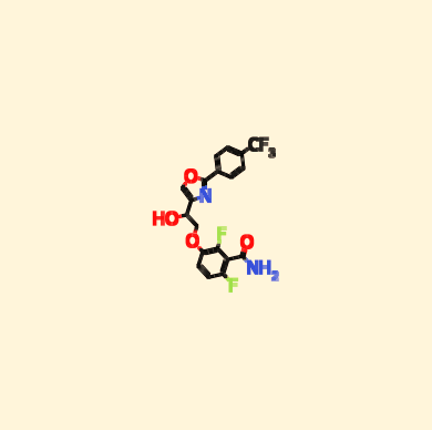 NC(=O)c1c(F)ccc(OCC(O)c2coc(-c3ccc(C(F)(F)F)cc3)n2)c1F